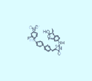 CCC(C(=O)O)c1ccc(NC2=NC(=O)C(=Cc3ccc(-c4ccc(Nc5ccc([N+](=O)[O-])cc5F)cc4)cc3)S2)cc1F